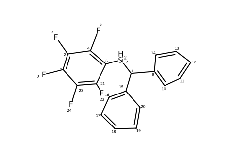 Fc1c(F)c(F)c([SiH2]C(c2ccccc2)c2ccccc2)c(F)c1F